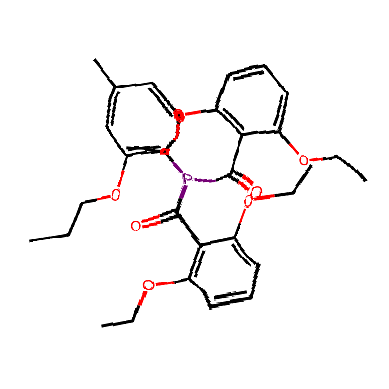 CCCOc1cc(C)ccc1P(C(=O)c1c(OCC)cccc1OCC)C(=O)c1c(OCC)cccc1OCC